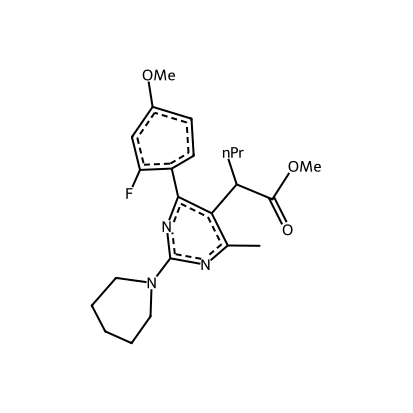 CCCC(C(=O)OC)c1c(C)nc(N2CCCCC2)nc1-c1ccc(OC)cc1F